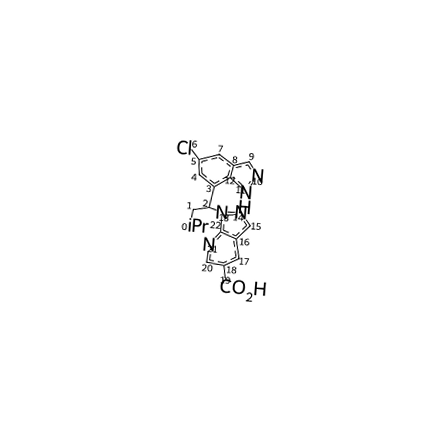 CC(C)CC(c1cc(Cl)cc2cn[nH]c12)n1ncc2cc(C(=O)O)cnc21